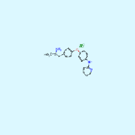 Cl.Cl.N[C@@H](Cc1ccc(Oc2ccc(Nc3ccccn3)cc2)cc1)C(=O)O